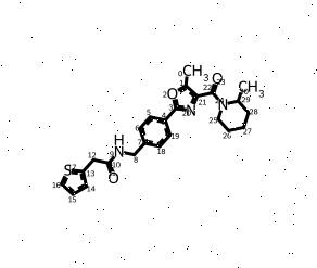 Cc1oc(-c2ccc(CNC(=O)Cc3cccs3)cc2)nc1C(=O)N1CCCCC1C